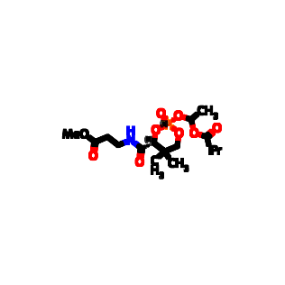 COC(=O)CCNC(=O)[C@@H]1O[P@@](=O)(OC(C)OC(=O)C(C)C)OCC1(C)C